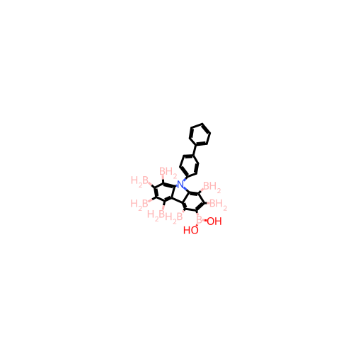 Bc1c(B)c(B)c2c(c1B)c1c(B)c(B(O)O)c(B)c(B)c1n2-c1ccc(-c2ccccc2)cc1